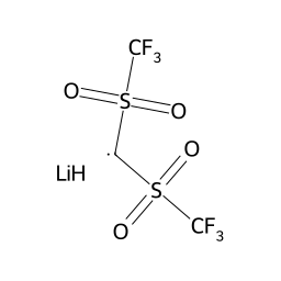 O=S(=O)([CH]S(=O)(=O)C(F)(F)F)C(F)(F)F.[LiH]